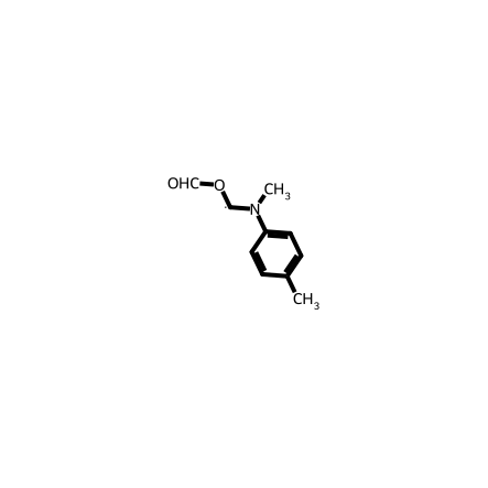 Cc1ccc(N(C)[CH]OC=O)cc1